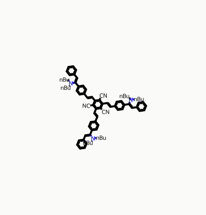 CCCCN(CCCC)C(=Cc1ccccc1)c1ccc(C=Cc2c(C#N)c(C=Cc3ccc(C(=Cc4ccccc4)N(CCCC)CCCC)cc3)c(C#N)c(C=Cc3ccc(C(=Cc4ccccc4)N(CCCC)CCCC)cc3)c2C#N)cc1